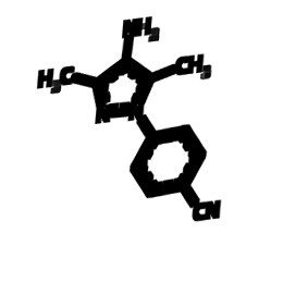 Cc1nn(-c2ccc(C#N)cc2)c(C)c1N